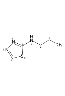 [O]CCNc1nncs1